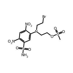 CS(=O)(=O)OCCN(CCBr)c1cc(S(N)(=O)=O)c([N+](=O)[O-])cc1[N+](=O)[O-]